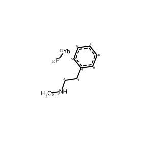 CNCCc1ccccc1.[F][Yb]